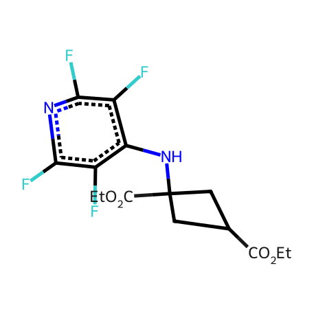 CCOC(=O)C1CC(Nc2c(F)c(F)nc(F)c2F)(C(=O)OCC)C1